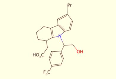 CC(C)c1ccc2c(c1)c1c(n2C(CO)c2ccc(C(F)(F)F)cc2)C(CC(=O)O)CCC1